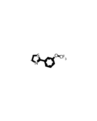 FC(F)(F)Oc1cccc(C2=N[CH]CS2)c1